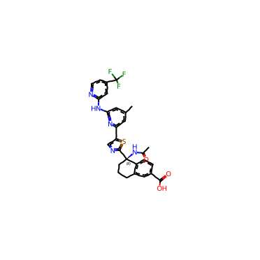 CC(=O)N[C@]1(c2ncc(-c3cc(C)cc(Nc4cc(C(F)(F)F)ccn4)n3)s2)CCCc2cc(C(=O)O)ccc21